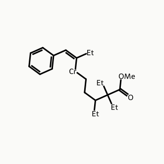 CC[C](=Cc1ccccc1)[Cr][CH2]CC(CC)C(CC)(CC)C(=O)OC